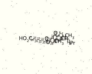 CC(C)CCCC(C)C1CCC2C3C(=O)C=C4CC(OC(=O)CCCCCCCC(=O)O)CCC4(C)C3CCC12C